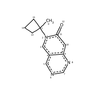 CC1(n2cc3cncnc3cc2=O)CCC1